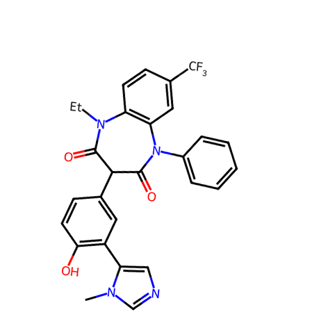 CCN1C(=O)C(c2ccc(O)c(-c3cncn3C)c2)C(=O)N(c2ccccc2)c2cc(C(F)(F)F)ccc21